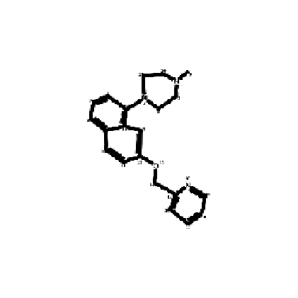 CN1CCN(c2cccc3ccc(OCc4ccccn4)cc23)CC1